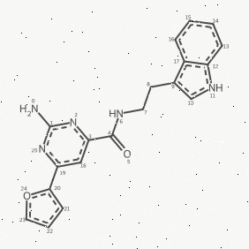 Nc1nc(C(=O)NCCc2c[nH]c3ccccc23)cc(-c2ccco2)n1